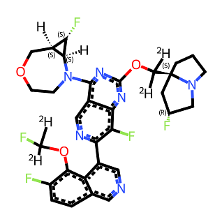 [2H]C([2H])(F)Oc1c(F)ccc2cncc(-c3ncc4c(N5CCOC[C@H]6[C@H](F)[C@H]65)nc(OC([2H])([2H])[C@@]56CCCN5C[C@H](F)C6)nc4c3F)c12